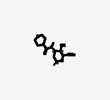 COC1O[C@H](C)C[C@H](N(C)C(=O)N2CCOCC2)[C@H]1O